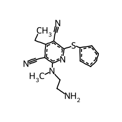 CCc1c(C#N)c(Sc2ccccc2)nc(N(C)CCN)c1C#N